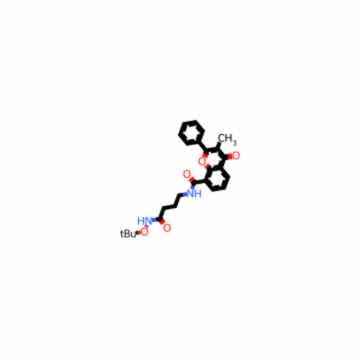 Cc1c(-c2ccccc2)oc2c(C(=O)NCCCC(=O)NOC(C)(C)C)cccc2c1=O